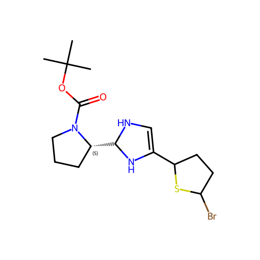 CC(C)(C)OC(=O)N1CCC[C@H]1C1NC=C(C2CCC(Br)S2)N1